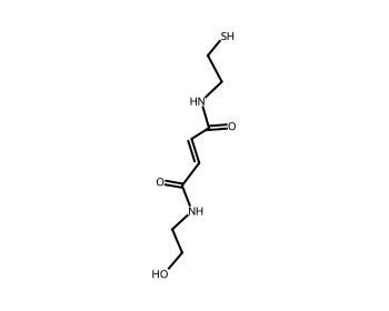 O=C(C=CC(=O)NCCS)NCCO